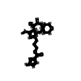 CCc1nn(CCCOC(=O)c2ccn(C)n2)c2c1C(=O)NCC1(CCOCC1)C2